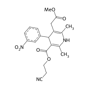 COC(=O)CC1=C(C)NC(C)=C(C(=O)OCCC#N)C1c1cccc([N+](=O)[O-])c1